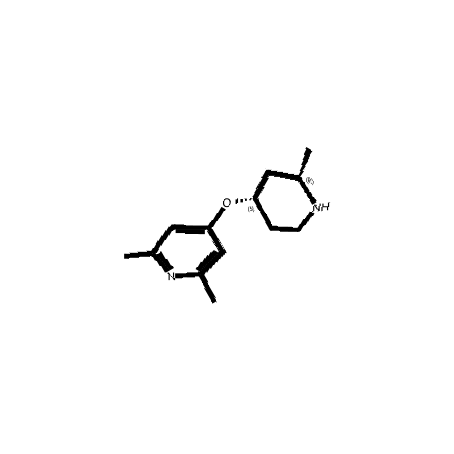 Cc1cc(O[C@H]2CCN[C@H](C)C2)cc(C)n1